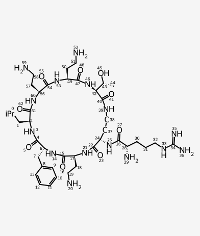 CC(C)C[C@@H]1NC(=O)[C@@H](Cc2ccccc2)NC(=O)[C@H](CCN)NC(=O)[C@@H](NC(=O)[C@@H](N)CCCNC(=N)N)CCNC(=O)[C@H]([C@@H](C)O)NC(=O)[C@H](CCN)NC(=O)[C@H](CCN)NC1=O